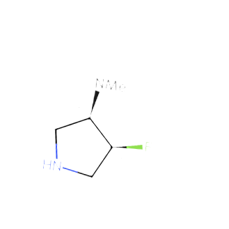 CN[C@@H]1CNC[C@@H]1F